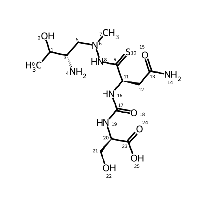 CC(O)[C@@H](N)CN(C)NC(=S)[C@@H](CC(N)=O)NC(=O)N[C@H](CO)C(=O)O